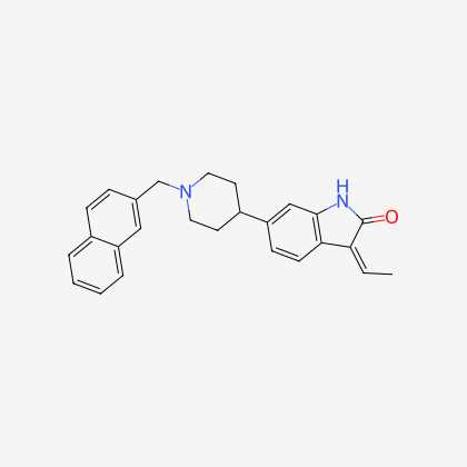 CC=C1C(=O)Nc2cc(C3CCN(Cc4ccc5ccccc5c4)CC3)ccc21